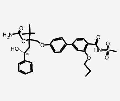 CCCOc1cc(-c2ccc(OCC(C[C@@H](O)c3ccccc3)(OC(N)=O)C(C)(C)C)cc2)ccc1C(=O)NS(C)(=O)=O